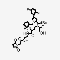 CC(C)(C)C(c1cc(-c2cc(F)ccc2F)cn1Cc1ccccc1)N(CC[C@H](N)C(=O)NCCNC(=O)CN1C(=O)C=CC1=O)C(=O)CO